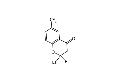 CCC1(CC)CC(=O)c2cc(C(F)(F)F)ccc2O1